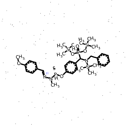 COc1ccc(/C=N/N(C)[PH](=S)Oc2ccc(C(N(Cc3ccccc3)[Si](C)(C)C)P(=O)(O[Si](C)(C)C)O[Si](C)(C)C)cc2)cc1